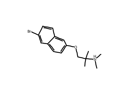 C[SiH](C)C(C)(C)COc1ccc2cc(Br)ccc2c1